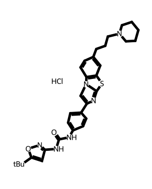 CC(C)(C)c1cc(NC(=O)Nc2ccc(-c3cn4c(n3)sc3cc(CCCN5CCCCC5)ccc34)cc2)no1.Cl